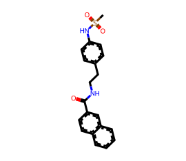 CS(=O)(=O)Nc1ccc(CCNC(=O)c2ccc3ccccc3c2)cc1